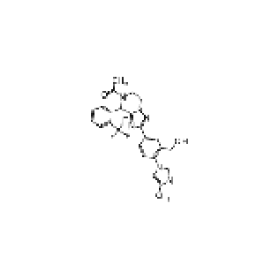 CC(=O)N1CCn2nc(-c3ccc(-n4cnc(C)c4)c(CO)c3)nc2C1c1ccccc1C(F)(F)F